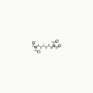 ClCN(CCl)CCCCCCN(CCl)CCl